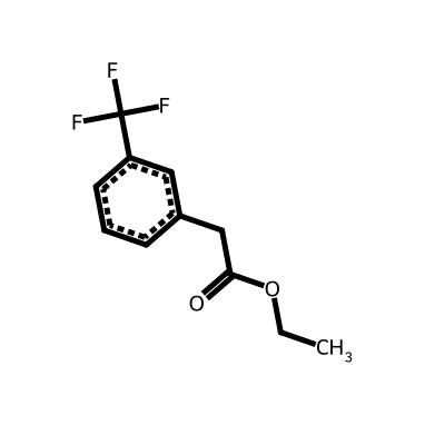 CCOC(=O)Cc1cccc(C(F)(F)F)c1